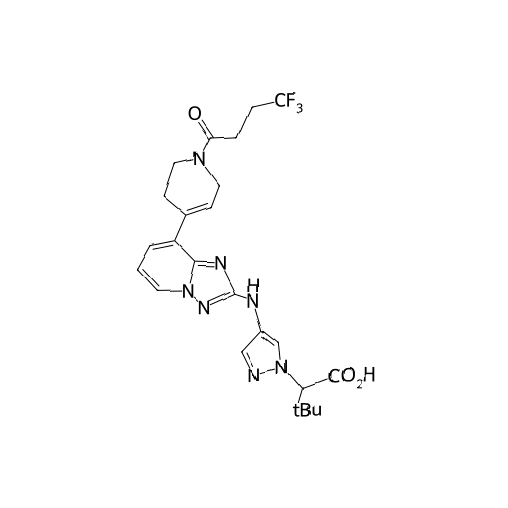 CC(C)(C)C(C(=O)O)n1cc(Nc2nc3c(C4=CCN(C(=O)CCC(F)(F)F)CC4)cccn3n2)cn1